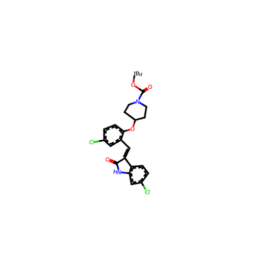 CC(C)(C)OC(=O)N1CCC(Oc2ccc(Cl)cc2C=C2C(=O)Nc3cc(Cl)ccc32)CC1